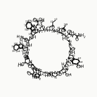 CCCC[C@H]1C(=O)N(C)[C@@H](CCCC)C(=O)N[C@@H](CC(C)C)C(=O)N[C@H](C(=O)NCC(N)=O)CSCC(=O)N[C@@H](Cc2ccc(O)cc2)C(=O)N(C)[C@@H](C)C(=O)N[C@@H](CC(=O)O)C(=O)N2CCC[C@H]2C(=O)N[C@@H](Cc2cnc[nH]2)C(=O)N[C@@H](CCC(N)=O)C(=O)N2C[C@H](O)C[C@H]2C(=O)N[C@@H](Cc2c[nH]c3ccccc23)C(=O)N[C@@H](CCN)C(=O)N[C@@H](Cc2cn(CC(=O)O)c3ccccc23)C(=O)N1C